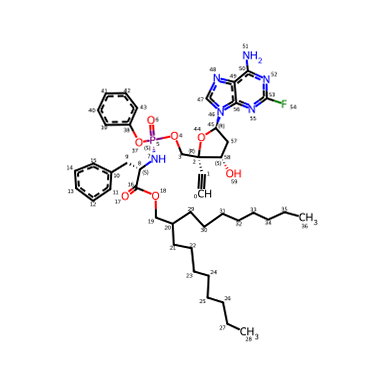 C#C[C@]1(CO[P@@](=O)(N[C@@H](Cc2ccccc2)C(=O)OCC(CCCCCCCC)CCCCCCCC)Oc2ccccc2)O[C@@H](n2cnc3c(N)nc(F)nc32)C[C@@H]1O